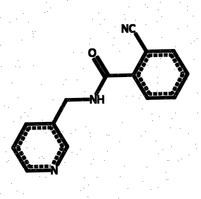 N#Cc1ccccc1C(=O)NCc1cccnc1